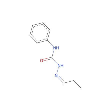 CC/[C]=N\NC(=O)Nc1ccccc1